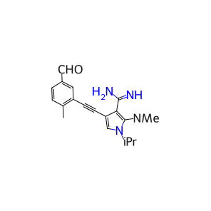 CNc1c(C(=N)N)c(C#Cc2cc(C=O)ccc2C)cn1C(C)C